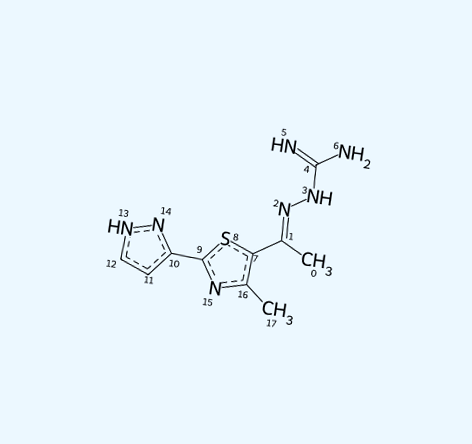 C/C(=N\NC(=N)N)c1sc(-c2cc[nH]n2)nc1C